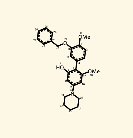 COc1ccc(-c2c(O)cc(N3CCCCC3)cc2OC)cc1OCc1ccccc1